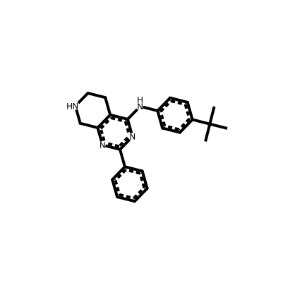 CC(C)(C)c1ccc(Nc2nc(-c3ccccc3)nc3c2CCNC3)cc1